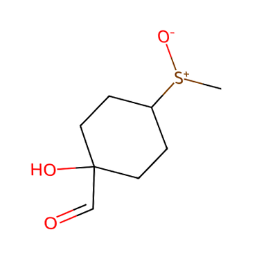 C[S+]([O-])C1CCC(O)(C=O)CC1